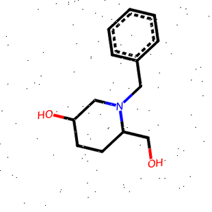 OCC1CCC(O)CN1Cc1ccccc1